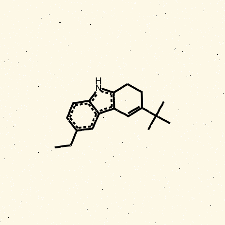 CCc1ccc2[nH]c3c(c2c1)C=C(C(C)(C)C)CC3